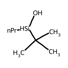 CCC[SiH](O)C(C)(C)C